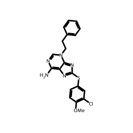 COc1ccc(Sc2nc3c(N)ncn(CCc4ccccc4)c-3n2)cc1Cl